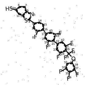 Fc1cc(-c2nc3ccc(S)cc3s2)ccc1-c1cc(F)c(-c2cc(F)c(C(F)(F)Oc3cc(F)c(F)c(F)c3)c(F)c2)c(F)c1